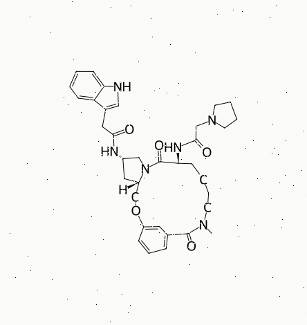 CN1CCCC[C@H](NC(=O)CN2CCCC2)C(=O)N2C[C@@H](NC(=O)Cc3c[nH]c4ccccc34)C[C@H]2COc2cccc(c2)C1=O